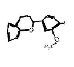 COc1cc(C2CCc3ccccc3O2)ccc1F